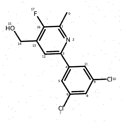 Cc1nc(-c2cc(Cl)cc(Cl)c2)cc(CO)c1F